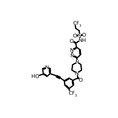 O=C(NS(=O)(=O)CCC(F)(F)F)c1ccc(N2CCN(C(=O)c3cc(C#Cc4cncc(O)c4)cc(C(F)(F)F)c3)CC2)nn1